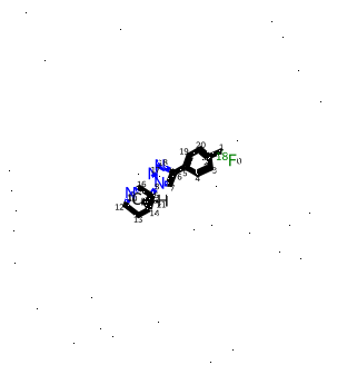 [18F]Cc1ccc(-c2cn([C@H]3CN4CCC3CC4)nn2)cc1